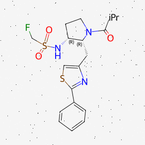 CC(C)C(=O)N1CC[C@@H](NS(=O)(=O)CF)[C@H]1Cc1csc(-c2ccccc2)n1